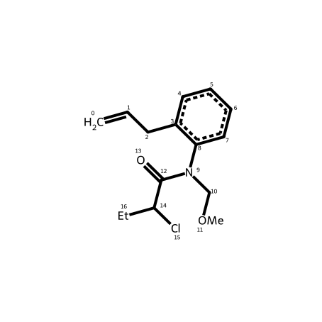 C=CCc1ccccc1N(COC)C(=O)C(Cl)CC